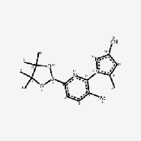 CC(=O)c1ccc(B2OC(C)(C)C(C)(C)O2)nc1-n1nc(C#N)cc1C